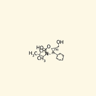 CC(C)(C)CN(C[C@]1(c2ccccc2)C[C@H]1CO)C(=O)O